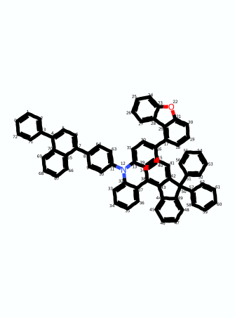 c1ccc(-c2ccc(-c3ccc(N(c4ccc(-c5cccc6oc7ccccc7c56)cc4)c4ccccc4-c4cccc5c4-c4ccccc4C5(c4ccccc4)c4ccccc4)cc3)c3ccccc23)cc1